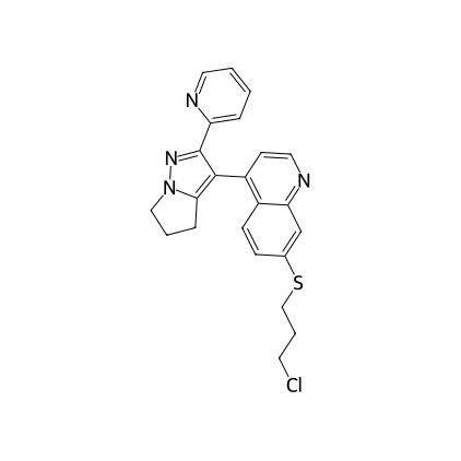 ClCCCSc1ccc2c(-c3c(-c4ccccn4)nn4c3CCC4)ccnc2c1